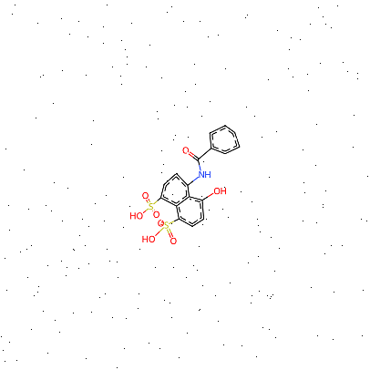 O=C(Nc1ccc(S(=O)(=O)O)c2c(S(=O)(=O)O)c[c]c(O)c12)c1ccccc1